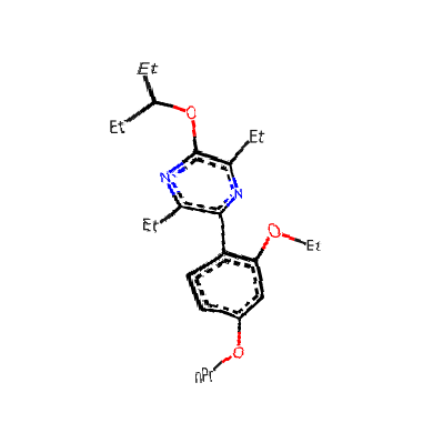 CCCOc1ccc(-c2nc(CC)c(OC(CC)CC)nc2CC)c(OCC)c1